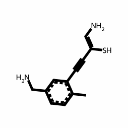 Cc1ccc(CN)cc1C#C/C(S)=C/N